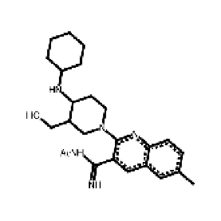 CC(=O)NC(=N)c1cc2cc(C)ccc2nc1N1CCC(NC2CCCCC2)C(CO)C1